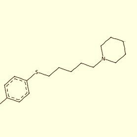 Fc1ccc(SCCCCCN2CC[CH]CC2)cc1